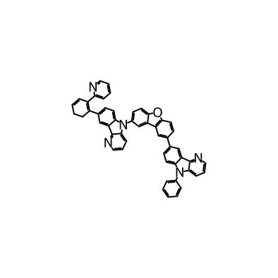 C1=CC(c2ccccn2)=C(c2ccc3c(c2)c2ncccc2n3-c2ccc3oc4ccc(-c5ccc6c(c5)c5ncccc5n6-c5ccccc5)cc4c3c2)CC1